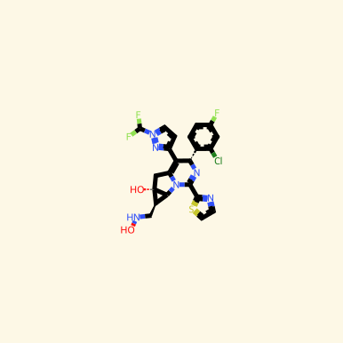 ONC[C@@H]1C2N3C(c4nccs4)=N[C@@H](c4ccc(F)cc4Cl)C(c4ccn(C(F)F)n4)=C3C[C@@]21O